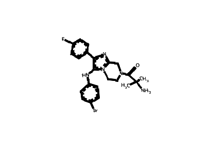 CC(C)(N)C(=O)N1CCn2c(nc(-c3ccc(F)cc3)c2Nc2ccc(Br)cc2)C1